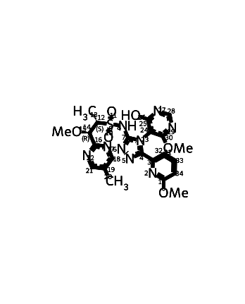 COC1=NC(c2nnc(NS(=O)(=O)[C@@H](C)[C@H](OC)c3ncc(C)cn3)n2-c2c(O)ncnc2OC)=C=C=C1